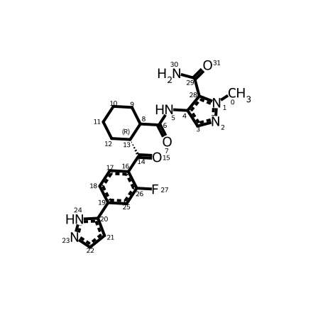 Cn1ncc(NC(=O)C2CCCC[C@H]2C(=O)c2ccc(-c3ccn[nH]3)cc2F)c1C(N)=O